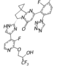 O=c1cc(-c2c(-n3cnnn3)ccc(Cl)c2F)nc2n1[C@H](c1nc(-c3ccnc(OC[C@@H](O)C(F)(F)F)c3F)c[nH]1)CC21CC1